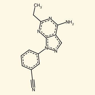 CCc1nc(N)c2cnn(-c3cccc(C#N)c3)c2n1